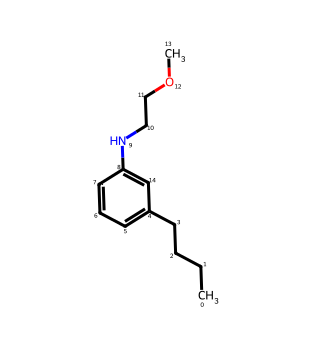 CCCCc1cc[c]c(NCCOC)c1